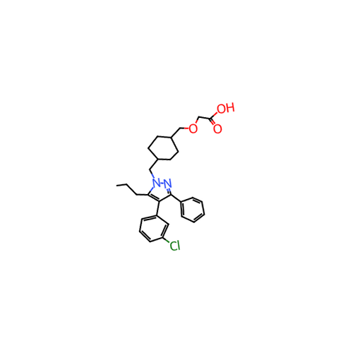 CCCc1c(-c2cccc(Cl)c2)c(-c2ccccc2)nn1CC1CCC(COCC(=O)O)CC1